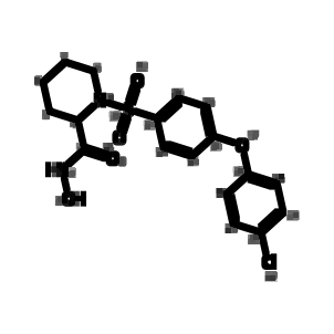 O=C(NO)C1CCCCN1S(=O)(=O)c1ccc(Oc2ccc(Cl)cc2)cc1